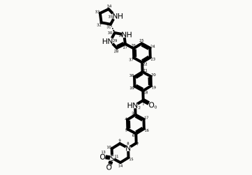 O=C(Nc1ccc(CN2CCS(=O)(=O)CC2)cc1)c1ccc(-c2cccc(C3=CNC([C@@H]4CCCN4)N3)c2)cc1